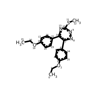 CCOc1ccc(-c2nnc(SC)nc2-c2ccc(OCC)cc2)cc1